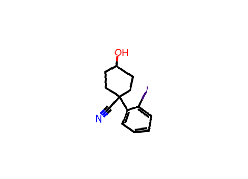 N#CC1(c2ccccc2I)CCC(O)CC1